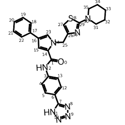 O=C(Nc1ccc(-c2nnn[nH]2)cc1)c1cc(-c2ccccc2)cn1Cc1csc(N2CCCCC2)n1